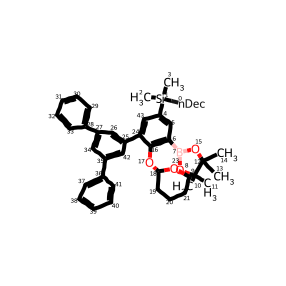 CCCCCCCCCC[Si](C)(C)c1cc(B2OC(C)(C)C(C)(C)O2)c(OC2CCCCO2)c(-c2cc(-c3ccccc3)cc(-c3ccccc3)c2)c1